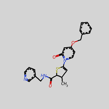 CC1C=C(n2ccc(OCc3ccccc3)cc2=O)SC1C(=O)NCc1cccnc1